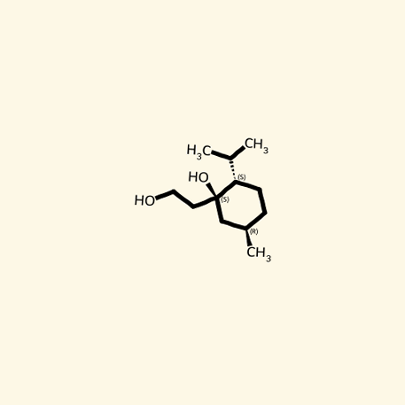 CC(C)[C@@H]1CC[C@@H](C)C[C@]1(O)CCO